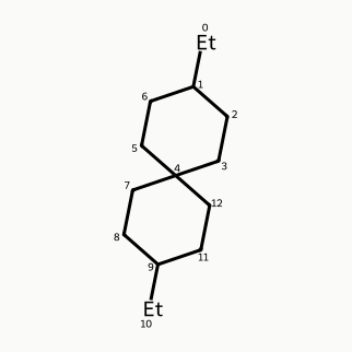 CCC1CCC2(CC1)CCC(CC)CC2